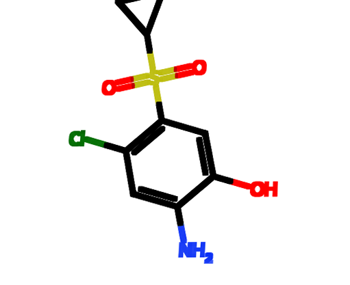 Nc1cc(Cl)c(S(=O)(=O)C2CC2)cc1O